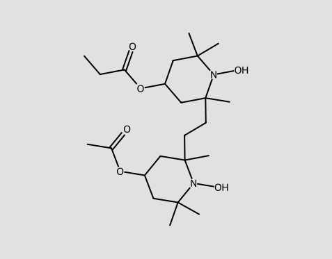 CCC(=O)OC1CC(C)(C)N(O)C(C)(CCC2(C)CC(OC(C)=O)CC(C)(C)N2O)C1